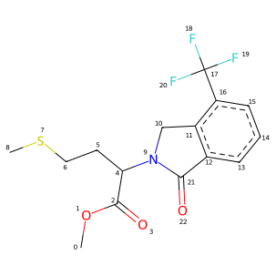 COC(=O)C(CCSC)N1Cc2c(cccc2C(F)(F)F)C1=O